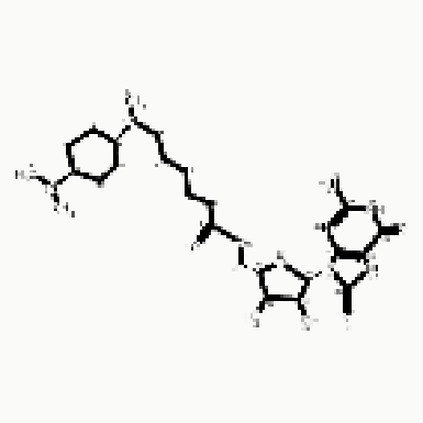 CN(C)[C@H]1CC[C@@H](N(C)CCCCCC(=O)OC[C@@H]2O[C@H](n3c(=O)[nH]c4c(=O)[nH]c(N)nc43)C(O)C2O)CC1